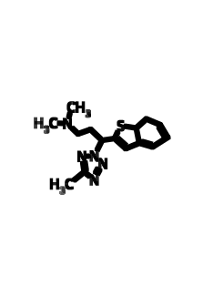 Cc1nnn(C(CCN(C)C)C2=CC3=CC=CCC3S2)n1